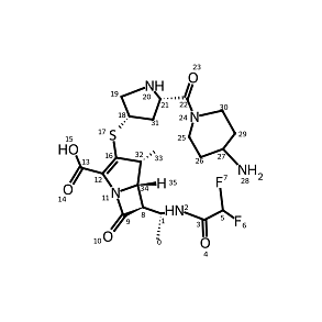 C[C@@H](NC(=O)C(F)F)[C@H]1C(=O)N2C(C(=O)O)=C(S[C@@H]3CN[C@H](C(=O)N4CCC(N)CC4)C3)[C@H](C)[C@H]12